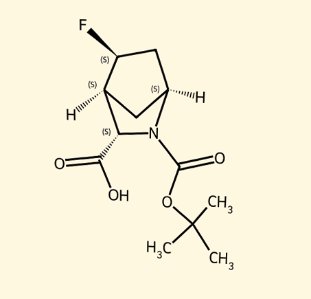 CC(C)(C)OC(=O)N1[C@H]2C[C@@H]([C@H]1C(=O)O)[C@@H](F)C2